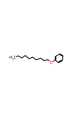 [CH2]CCCCCCCC[CH]Oc1ccccc1